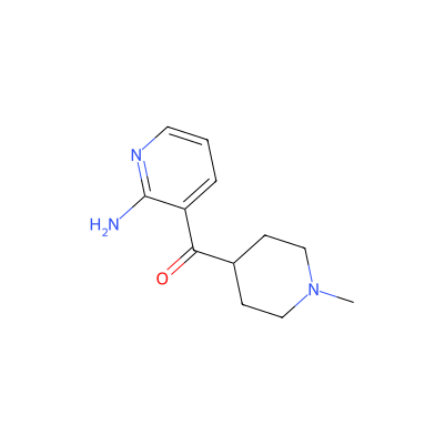 CN1CCC(C(=O)c2cccnc2N)CC1